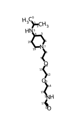 CC(C)NC1CCN(CCOCCOCCNC=O)CC1